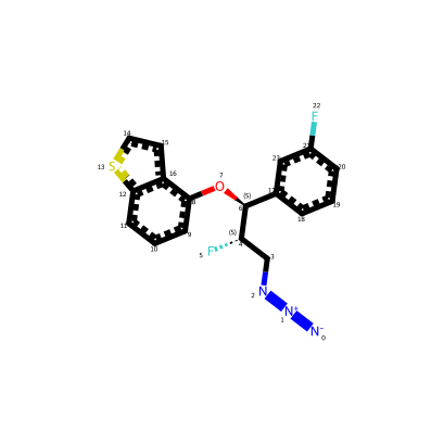 [N-]=[N+]=NC[C@H](F)[C@@H](Oc1cccc2sccc12)c1cccc(F)c1